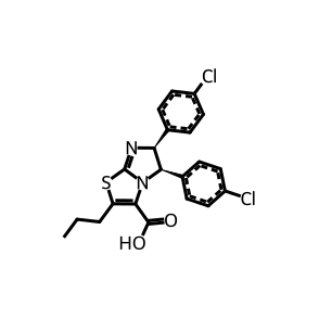 CCCC1=C(C(=O)O)N2C(=N[C@@H](c3ccc(Cl)cc3)[C@H]2c2ccc(Cl)cc2)S1